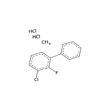 C.Cl.Cl.Fc1c(Cl)cccc1-c1ccccc1